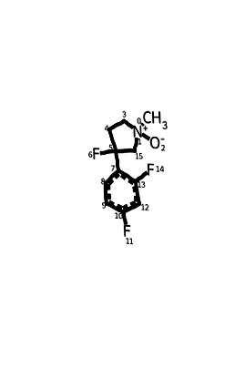 C[N+]1([O-])CCC(F)(c2ccc(F)cc2F)C1